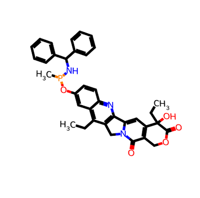 CCc1c2c(nc3ccc(OP(C)NC(c4ccccc4)c4ccccc4)cc13)-c1cc3c(c(=O)n1C2)COC(=O)C3(O)CC